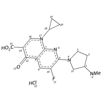 CNC1CCN(c2nc3c(cc2F)c(=O)c(C(=O)O)cn3C2CC2)C1.Cl